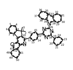 CC1(C)c2ccccc2-c2c1c(-c1ccc(-c3nc(-c4ccccc4)nc(-n4c5ccccc5c5ccccc54)n3)cc1)nc1c2oc2ccccc21